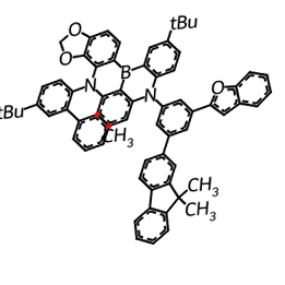 Cc1cc2c3c(c1)N(c1ccc(C(C)(C)C)cc1-c1ccccc1)c1c(ccc4c1OCO4)B3c1cc(C(C)(C)C)ccc1N2c1cc(-c2ccc3c(c2)C(C)(C)c2ccccc2-3)cc(-c2cc3ccccc3o2)c1